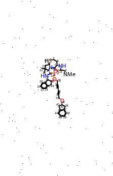 CNCC(=S)N[C@H]1CCS[C@H]2CC(C)(C)[C@@H](C(=O)N[C@H]3c4ccccc4C[C@H]3OCC#CC#CCOC3Cc4ccccc4C3)N2C1=O